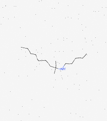 CCCCCCCC(C)(C)NCCCCC